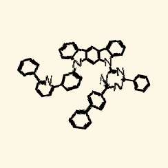 c1ccc(-c2ccc(-c3nc(-c4ccccc4)nc(-n4c5ccccc5c5cc6c7ccccc7n(-c7cccc(-c8cccc(-c9ccccc9)n8)c7)c6cc54)n3)cc2)cc1